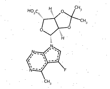 Cc1ncnc2c1c(F)cn2[C@@H]1O[C@H](C(=O)O)[C@H]2OC(C)(C)O[C@H]21